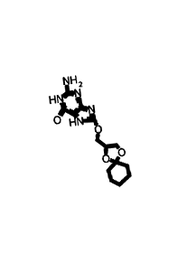 Nc1nc2nc(OCC3COC4(CCCCC4)O3)[nH]c2c(=O)[nH]1